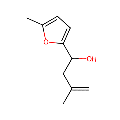 C=C(C)CC(O)c1ccc(C)o1